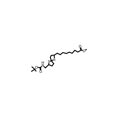 COC(=O)CCCCCCCCC1CCC2(CCC(CNC(=O)OC(C)(C)C)S2)S1